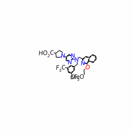 COCCOc1nc(CN(Cc2cc(C(F)(F)F)cc(C(F)(F)F)c2)c2ncc(N3CCC(C(=O)O)CC3)cn2)cc2ccccc12